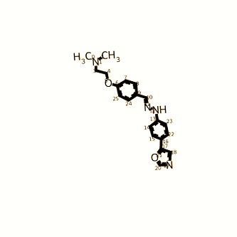 CN(C)CCOc1ccc(C=NNc2ccc(-c3cnco3)cc2)cc1